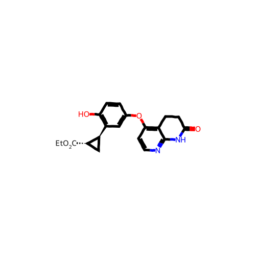 CCOC(=O)[C@H]1C[C@@H]1c1cc(Oc2ccnc3c2CCC(=O)N3)ccc1O